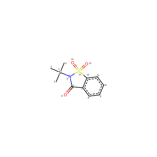 C[Si](C)(C)N1C(=O)c2ccccc2S1(=O)=O